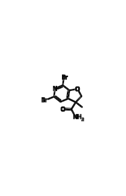 CC1(C(N)=O)COc2c1cc(Br)nc2Br